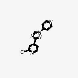 Clc1cc(-c2ncn(-c3ccncc3)n2)ccn1